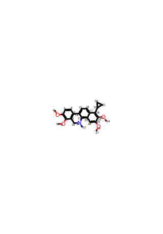 COc1ccc2c(c1OC)CN(C)c1c-2ccc2c(C3CC3)c(OC)c(OC)cc12